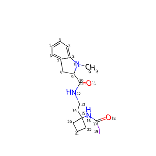 CN1c2ccccc2CC1C(=O)NCCC1(NC(=O)I)CCC1